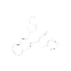 COC1CN(c2nc3ccccc3cc2-c2cc(=O)c3cnccc3[nH]2)CC1C